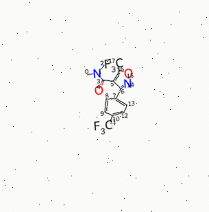 CN(C)C(=O)c1c(-c2ccc(C(F)(F)F)cc2)noc1C(F)(F)F